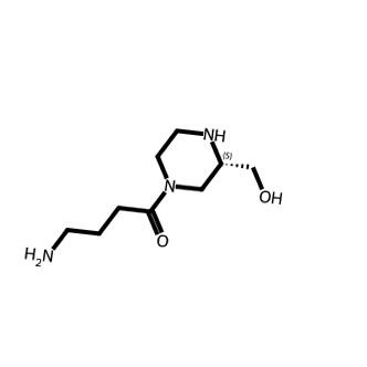 NCCCC(=O)N1CCN[C@H](CO)C1